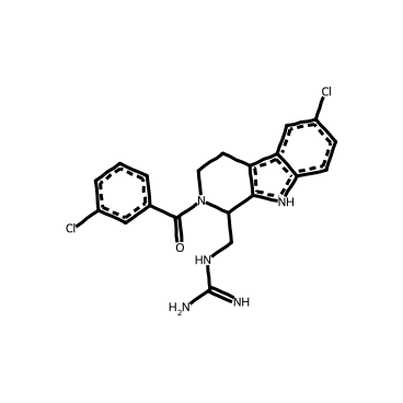 N=C(N)NCC1c2[nH]c3ccc(Cl)cc3c2CCN1C(=O)c1cccc(Cl)c1